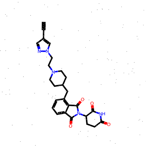 C#Cc1cnn(CCN2CCC(Cc3cccc4c3C(=O)N(C3CCC(=O)NC3=O)C4=O)CC2)c1